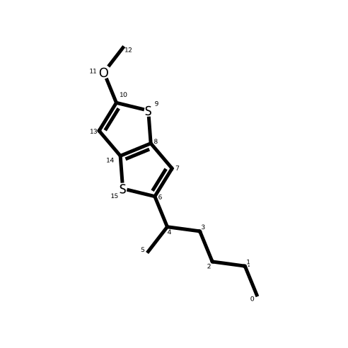 C[CH]CCC(C)c1cc2sc(OC)cc2s1